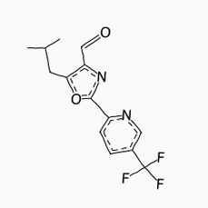 CC(C)Cc1oc(-c2ccc(C(F)(F)F)cn2)nc1C=O